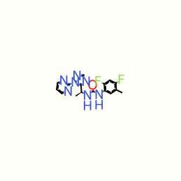 Cc1cc(NC(=O)N[C@@H](C)c2ncnn2-c2ncccn2)c(F)cc1F